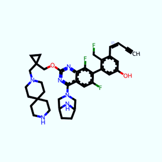 C#C/C=C\c1cc(O)cc(-c2c(F)cc3c(N4CC5CCC(C4)N5)nc(OCC4(CN5CCC6(CCNCC6)CC5)CC4)nc3c2F)c1CF